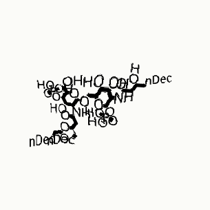 CCCCCCCCCCCC(=O)O[C@@H](CCCCCCCCCCC)CC(=O)NC1C(O)[C@H](OP(=O)(O)O)C(CO)O[C@H]1OCC1O[C@H](OP(=O)(O)O)C(NC(=O)C[C@@H](O)CCCCCCCCCCC)C(O)[C@@H]1O